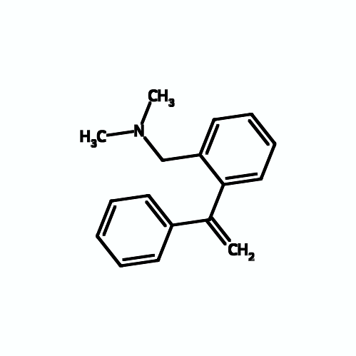 C=C(c1ccccc1)c1ccccc1CN(C)C